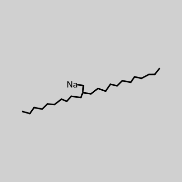 CCCCCCCCCCCCC([CH2][Na])CCCCCCCCCC